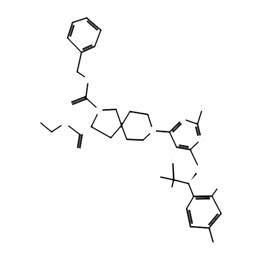 CCOC(=O)[C@H]1CC2(CCN(c3cc(O[C@@H](c4ccc(Cl)cc4Br)C(F)(F)F)nc(N)n3)CC2)CN1C(=O)OCc1ccccc1